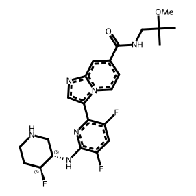 COC(C)(C)CNC(=O)c1ccn2c(-c3nc(N[C@H]4CNCC[C@@H]4F)c(F)cc3F)cnc2c1